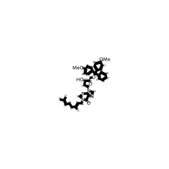 COc1ccc(C(OC[C@H]2O[C@@H](n3cnc4c(=O)n(C/C=C(\C)CCC=C(C)C)cnc43)C[C@@H]2O)(c2ccccc2)c2ccc(OC)cc2)cc1